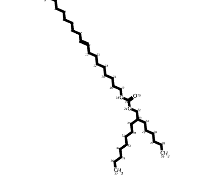 CCCCCCCCC=CCCCCCCCCOC(=O)OCC(CCCCCC)CCCCCCCC